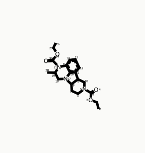 CCOC(=O)N1CCC2C(C1)c1cccc3c1N2CC(C)N3C(=O)OCC